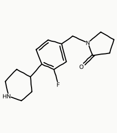 O=C1CCCN1Cc1ccc(C2CCNCC2)c(F)c1